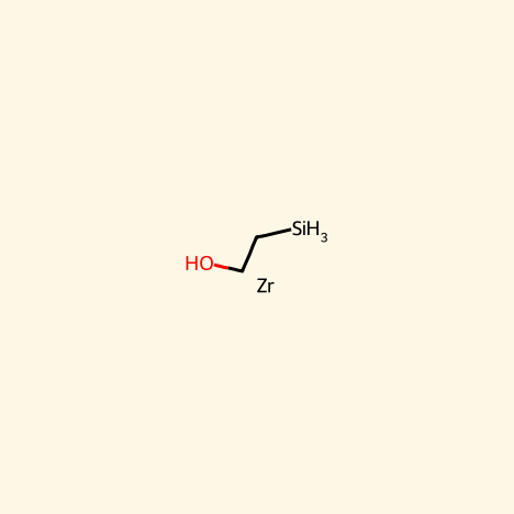 OCC[SiH3].[Zr]